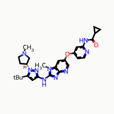 CN1CC[C@@H](n2nc(Nc3nc4ncc(Oc5ccnc(NC(=O)C6CC6)c5)cc4n3C)cc2C(C)(C)C)C1